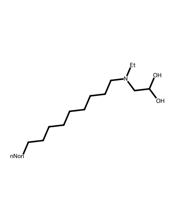 CCCCCCCCCCCCCCCCCCN(CC)CC(O)O